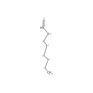 CCCCCCO[SH]=O